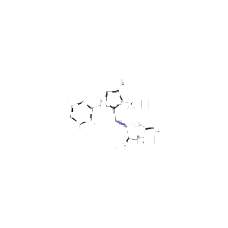 Cc1cn(-c2ccccc2)c(/C=C2\SC(=O)NC2=O)c1C